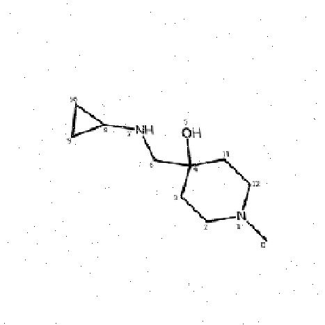 CN1CCC(O)(CNC2CC2)CC1